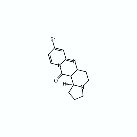 O=C1C2C(CCN3CCC[C@@H]23)N=C2C=C(Br)C=CN12